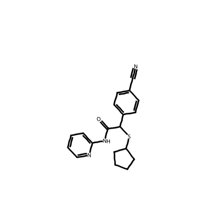 N#Cc1ccc(C(SC2CCCC2)C(=O)Nc2ccccn2)cc1